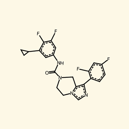 O=C(Nc1cc(F)c(F)c(C2CC2)c1)N1CCn2cnc(-c3ccc(F)cc3F)c2C1